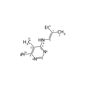 CC/C(C)=C\Nc1ncnc(C(C)C)c1C